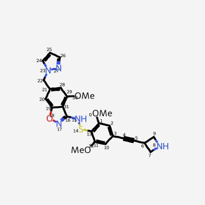 COc1cc(C#CC2CNC2)cc(OC)c1SNc1noc2cc(Cn3cccn3)cc(OC)c12